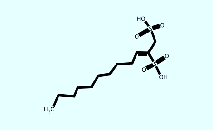 CCCCCCCCCC=C(CS(=O)(=O)O)S(=O)(=O)O